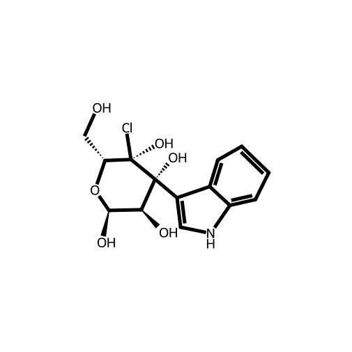 OC[C@H]1O[C@H](O)[C@H](O)[C@](O)(c2c[nH]c3ccccc23)[C@]1(O)Cl